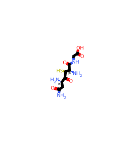 NC(=O)C[C@H](N)C(=O)C(S)[C@H](N)C(=O)NCC(=O)O